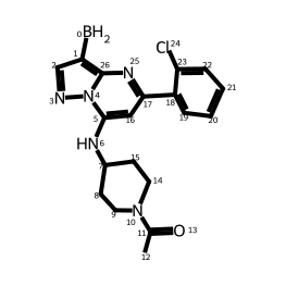 Bc1cnn2c(NC3CCN(C(C)=O)CC3)cc(-c3ccccc3Cl)nc12